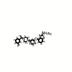 CC(=O)Nc1nc2c(Oc3cc(N4CCN(C(C)c5cccc(F)c5)CC4)ncn3)cccc2s1